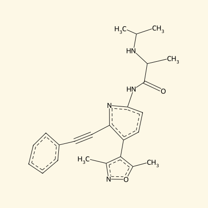 Cc1noc(C)c1-c1ccc(NC(=O)C(C)NC(C)C)nc1C#Cc1ccccc1